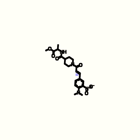 COC(=O)C(C)NC(=O)C1CCN(C(=O)/C=C/c2ccc(N(C)C)c([N+](=O)[O-])c2)CC1